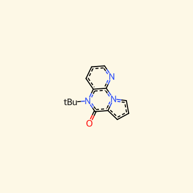 CC(C)(C)n1c(=O)c2cccn2c2ncccc21